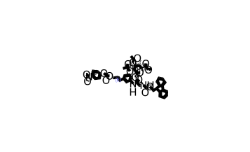 COC(=O)[C@H]1O[C@@H](Oc2ccc(/C=C/COC(=O)Oc3ccc([N+](=O)[O-])cc3)cc2NC(=O)CNC(=O)OCC2c3ccccc3-c3ccccc32)[C@H](OC(C)=O)[C@@H](OC(C)=O)[C@@H]1C